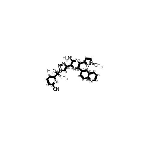 Cn1ccc(-c2nc(N)c(-c3cn(C(C)(C)c4cccc(C#N)n4)nn3)nc2-c2ccc3ncccc3c2)n1